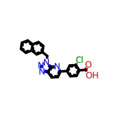 O=C(O)c1ccc(-c2ccc3nnn(Cc4ccc5ccccc5c4)c3n2)cc1Cl